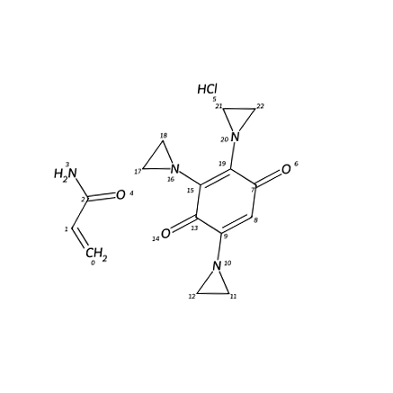 C=CC(N)=O.Cl.O=C1C=C(N2CC2)C(=O)C(N2CC2)=C1N1CC1